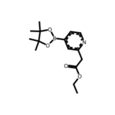 CCOC(=O)Cc1cc(B2OC(C)(C)C(C)(C)O2)ccn1